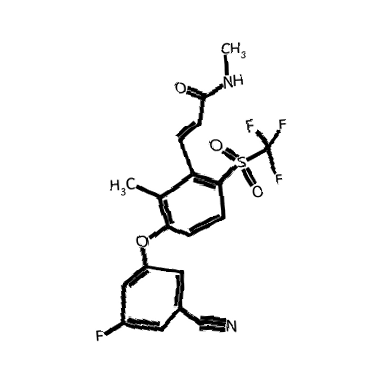 CNC(=O)/C=C/c1c(S(=O)(=O)C(F)(F)F)ccc(Oc2cc(F)cc(C#N)c2)c1C